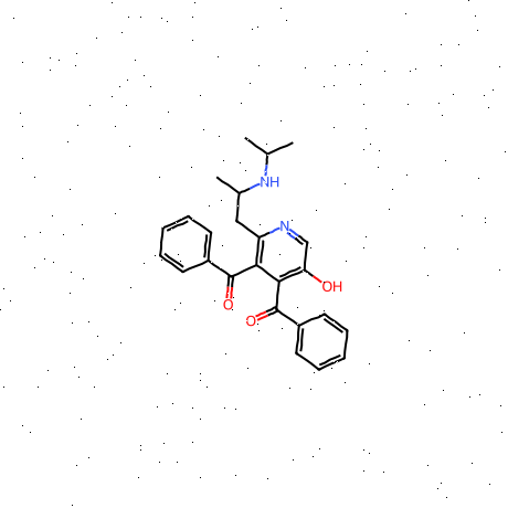 CC(C)NC(C)Cc1ncc(O)c(C(=O)c2ccccc2)c1C(=O)c1ccccc1